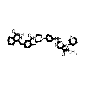 Cn1c(=O)c2cnc(Nc3ccc(N4CCN(C(=O)c5cc(Cc6n[nH]c(=O)c7ccccc67)ccc5F)CC4)cc3)nc2n1-c1cccnc1